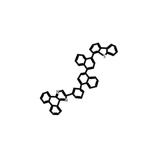 c1cc(-c2cnc3c4ccccc4c4ccccc4c3n2)cc(-c2ccc(-c3ccc(-c4cccc5c4sc4ccccc45)c4ccccc34)c3ccccc23)c1